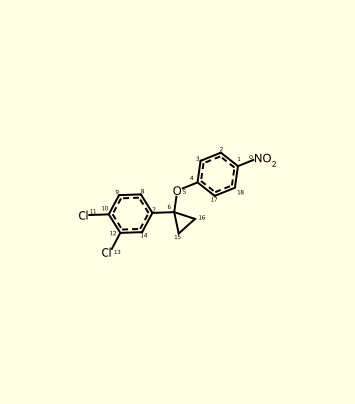 O=[N+]([O-])c1ccc(OC2(c3ccc(Cl)c(Cl)c3)CC2)cc1